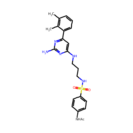 CC(=O)Nc1ccc(S(=O)(=O)NCCCNc2cc(-c3cccc(C)c3C)nc(N)n2)cc1